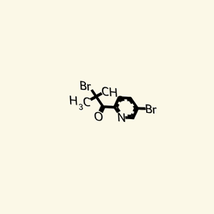 CC(C)(Br)C(=O)c1ccc(Br)cn1